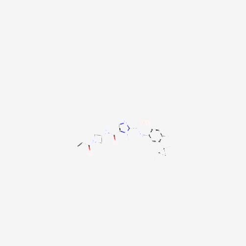 C=CC(=O)N1CC(NC(=O)c2cnc(CNc3cc(C4(C)CC4(F)F)c(Cl)cc3O)n2C)C1